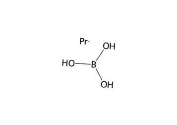 OB(O)O.[Pr]